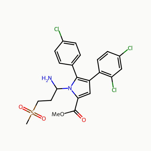 COC(=O)c1cc(-c2ccc(Cl)cc2Cl)c(-c2ccc(Cl)cc2)n1C(N)CCS(C)(=O)=O